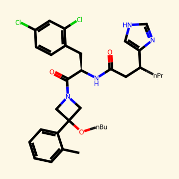 CCCCOC1(c2ccccc2C)CN(C(=O)[C@@H](Cc2ccc(Cl)cc2Cl)NC(=O)CC(CCC)c2c[nH]cn2)C1